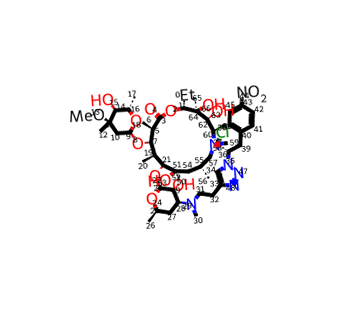 CC[C@H]1OC(=O)[C@H](C)[C@@H](O[C@H]2C[C@@](C)(OC)[C@@H](O)[C@H](C)O2)[C@H](C)[C@@H](O[C@@H]2O[C@H](C)C[C@H](N(C)CCc3cn([C@H](CCl)Cc4ccc([N+](=O)[O-])cc4)nn3)[C@H]2O)[C@](C)(O)C[C@@H](C)CN(C)[C@H](C)[C@@H](O)[C@]1(C)O